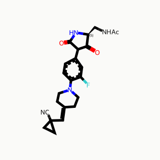 CC(=O)NC[C@@H]1NC(=O)C(c2ccc(N3CCC(=CC4(C#N)CC4)CC3)c(F)c2)C1=O